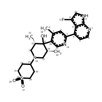 Cc1cc(-c2ccnc3[nH]cc(F)c23)ncc1C1(O)[C@H](C)CN(C2CCS(=O)(=O)CC2)C[C@@H]1C